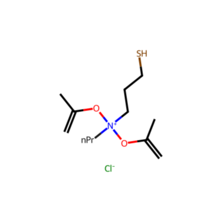 C=C(C)O[N+](CCC)(CCCS)OC(=C)C.[Cl-]